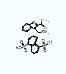 CCc1c(C(N)=O)oc2ccccc12.O=S(=O)(O)c1cccc2c(S(=O)(=O)O)cccc12